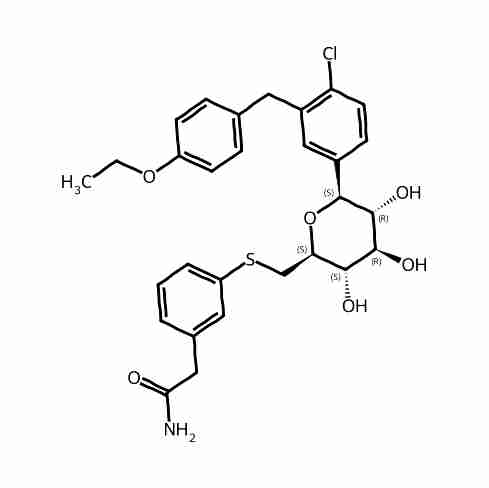 CCOc1ccc(Cc2cc([C@@H]3O[C@H](CSc4cccc(CC(N)=O)c4)[C@@H](O)[C@H](O)[C@H]3O)ccc2Cl)cc1